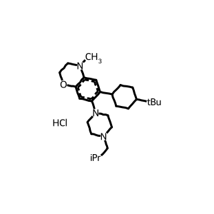 CC(C)CN1CCN(c2cc3c(cc2C2CCC(C(C)(C)C)CC2)N(C)CCO3)CC1.Cl